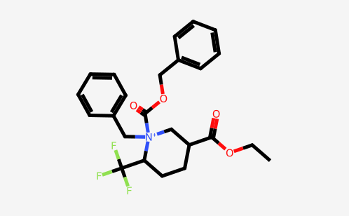 CCOC(=O)C1CCC(C(F)(F)F)[N+](Cc2ccccc2)(C(=O)OCc2ccccc2)C1